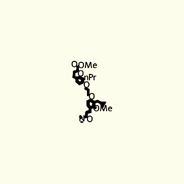 CCCc1c(OCCCOc2ccc(C=CC(=O)N(C)C)c(OC)c2CC2CC2)ccc2c1OC(C(=O)OC)CC2